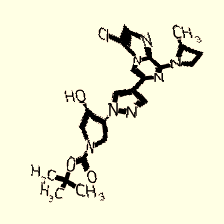 C[C@H]1CCN1c1nc(-c2cnn([C@@H]3CN(C(=O)OC(C)(C)C)C[C@H]3O)c2)cn2c(Cl)cnc12